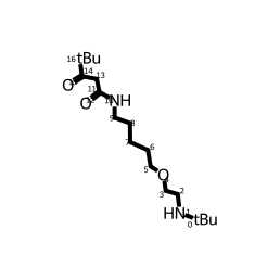 CC(C)(C)NCCOCCCCCNC(=O)CC(=O)C(C)(C)C